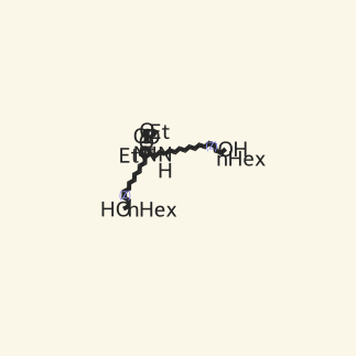 CCCCCCC(O)C/C=C\CCCCCCCCNCCN1CC[N+](CC)=C1CCCCCCC/C=C\CC(O)CCCCCC.CCOS(=O)(=O)[O-]